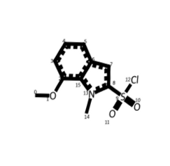 COc1cccc2cc(S(=O)(=O)Cl)n(C)c12